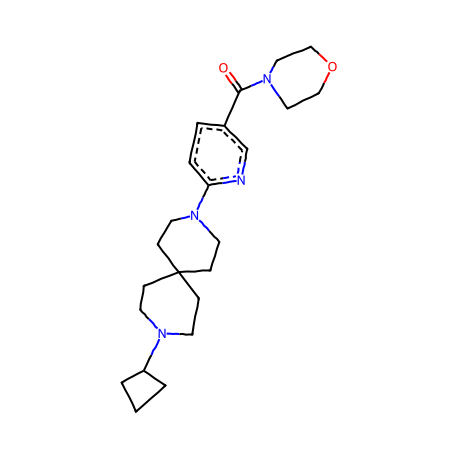 O=C(c1ccc(N2CCC3(CC2)CCN(C2CCC2)CC3)nc1)N1CCOCC1